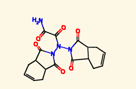 NC(=O)C(=O)N(N1C(=O)C2CC=CCC2C1=O)N1C(=O)C2CC=CCC2C1=O